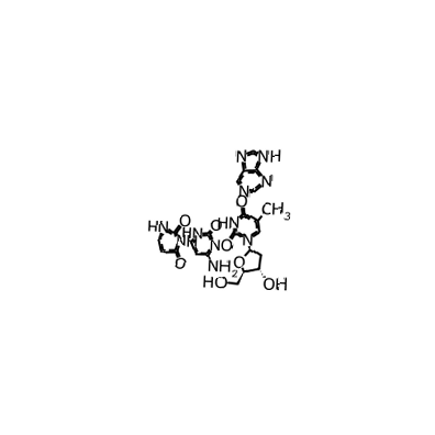 Cc1cn([C@H]2C[C@H](O)[C@@H](CO)O2)c(=O)[nH]c1=O.Nc1cc[nH]c(=O)n1.O=c1cc[nH]c(=O)[nH]1.c1ncc2nc[nH]c2n1